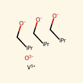 CC(C)C[O-].CC(C)C[O-].CC(C)C[O-].[O-2].[V+5]